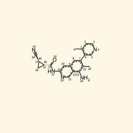 Cc1ccncc1-c1cc2cc(NC(=O)[C@@H]3C[C@H]3C#N)ncc2c(N)c1C